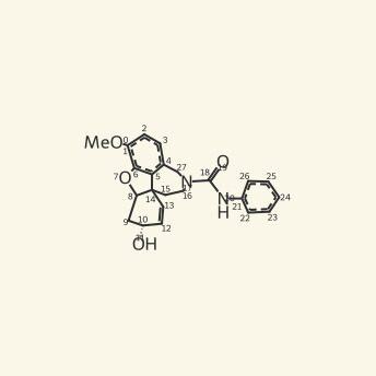 COc1ccc2c3c1OC1C[C@@H](O)C=CC31CCN(C(=O)Nc1ccccc1)C2